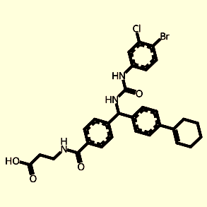 O=C(O)CCNC(=O)c1ccc(C(NC(=O)Nc2ccc(Br)c(Cl)c2)c2ccc(C3=CCCCC3)cc2)cc1